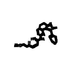 COCCN/C=C\C(=N)Nc1ncc2c(n1)-c1c(nn(C)c1-c1ccccc1)CC2